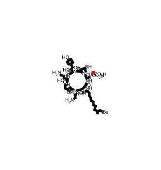 CC(=O)O.CC(=O)O.CCC(C)CC(C)CCCCCCCCC(=O)N[C@H]1C[C@@H](O)[C@H](NCCN)NC(=O)[C@@H]2[C@@H](O)CCN2C(=O)[C@H]([C@@H](O)CCN)NC(=O)[C@H]([C@H](O)[C@@H](O)c2ccc(O)cc2)NC(=O)[C@@H]2C[C@@H](O)CN2C(=O)[C@H]([C@@H](C)O)NC1=O